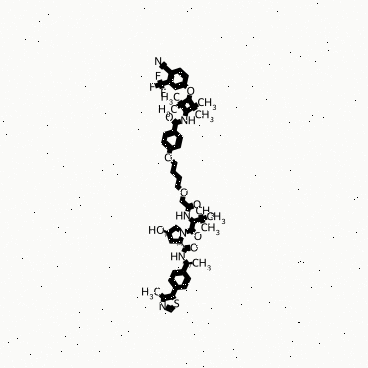 Cc1ncsc1-c1ccc([C@H](C)NC(=O)[C@@H]2C[C@@H](O)CN2C(=O)C(NC(=O)COCCCCOc2ccc(C(=O)NC3C(C)(C)C(Oc4ccc(C#N)c(C(F)(F)F)c4)C3(C)C)cc2)C(C)(C)C)cc1